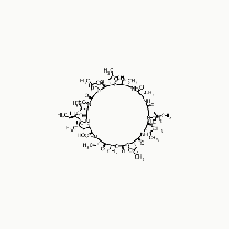 C/C=C/C[C@@H](C)[C@@H](O)[C@H]1C(=O)N[C@@H](CC)C(=O)N(C)CC(=O)N(C)[C@@H](CCC)C(=O)N[C@@H](C(C)C)C(=O)N(C)[C@@H](CC(C)C)C(=O)N[C@@H](C)C(=O)N[C@H](C)C(=O)N(C)[C@@H](CC(C)C)C(=O)N(C)[C@@H](CC(C)C)C(=O)N(C)[C@@H](C(C)C)C(=O)N1C